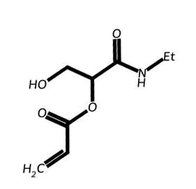 C=CC(=O)OC(CO)C(=O)NCC